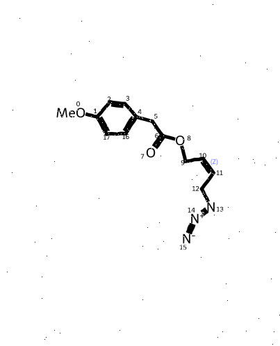 COc1ccc(CC(=O)OC/C=C\CN=[N+]=[N-])cc1